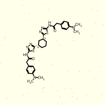 CN(C)c1ccc(CC(=O)Nc2nnc([C@H]3CCC[C@H](c4nnc(NC(=O)Cc5ccc(N(C)C)cc5)s4)C3)s2)cc1